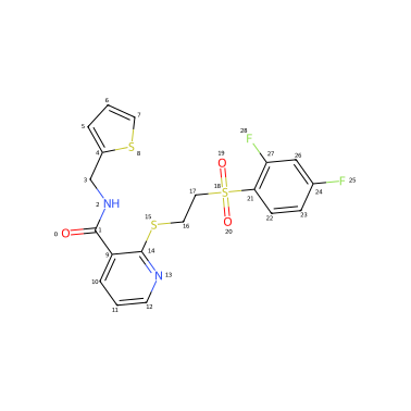 O=C(NCc1cccs1)c1cccnc1SCCS(=O)(=O)c1ccc(F)cc1F